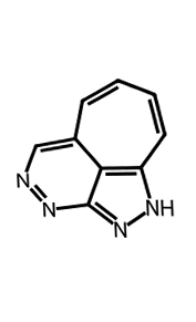 C1=Cc2cnnc3n[nH]c(c23)C=C1